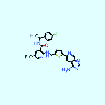 CC(NC(=O)c1cc(C(F)(F)F)cnc1NCc1ccc(-c2cc3c(N)ncnc3cn2)s1)c1ccc(F)cc1